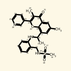 Cc1cc(C(C)Nc2ccccc2CNS(C)(=O)=O)c2oc(-c3cccnc3)c(C)c(=O)c2c1